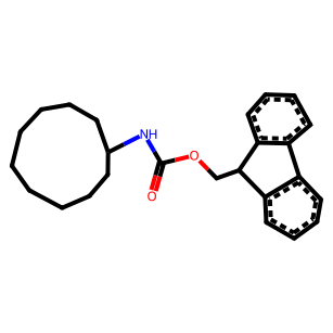 O=C(NC1CCCCCCCCC1)OCC1c2ccccc2-c2ccccc21